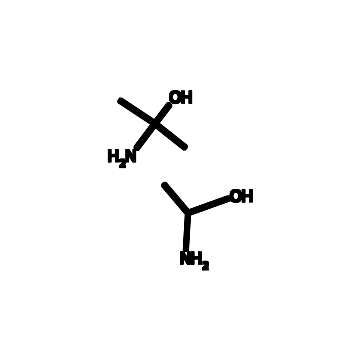 CC(C)(N)O.CC(N)O